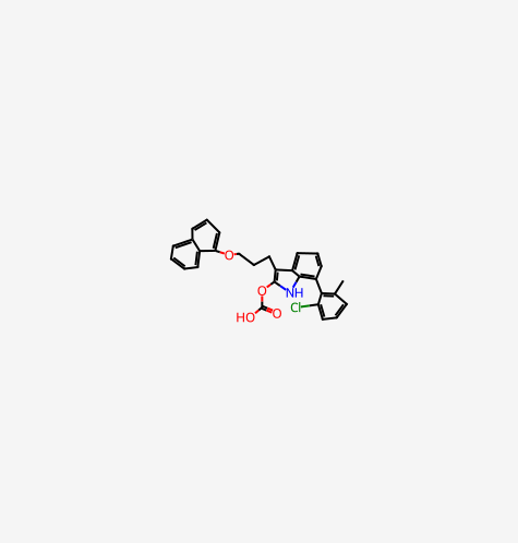 Cc1cccc(Cl)c1-c1cccc2c(CCCOc3cccc4ccccc34)c(OC(=O)O)[nH]c12